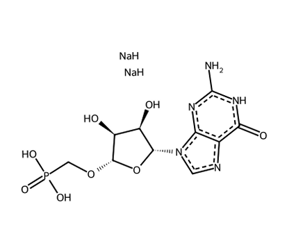 Nc1nc2c(ncn2[C@@H]2O[C@H](OCP(=O)(O)O)[C@@H](O)[C@H]2O)c(=O)[nH]1.[NaH].[NaH]